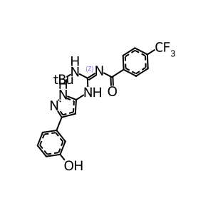 CC(C)(C)N/C(=N/C(=O)c1ccc(C(F)(F)F)cc1)Nc1cc(-c2cccc(O)c2)n[nH]1